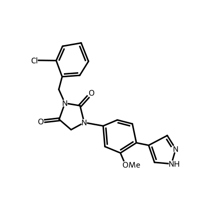 COc1cc(N2CC(=O)N(Cc3ccccc3Cl)C2=O)ccc1-c1cn[nH]c1